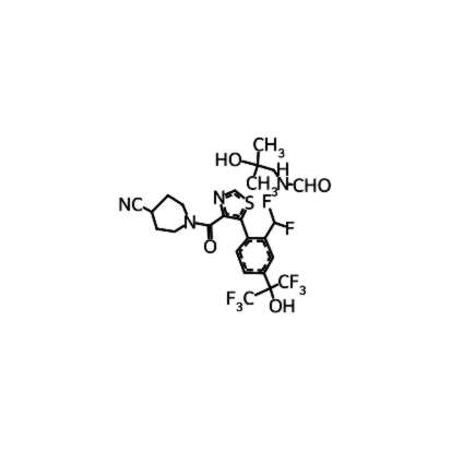 CC(C)(O)CNC=O.N#CC1CCN(C(=O)c2ncsc2-c2ccc(C(O)(C(F)(F)F)C(F)(F)F)cc2C(F)F)CC1